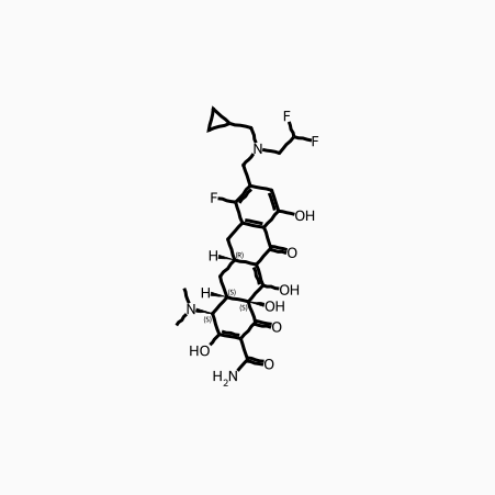 CN(C)[C@@H]1C(O)=C(C(N)=O)C(=O)[C@@]2(O)C(O)=C3C(=O)c4c(O)cc(CN(CC(F)F)CC5CC5)c(F)c4C[C@H]3C[C@@H]12